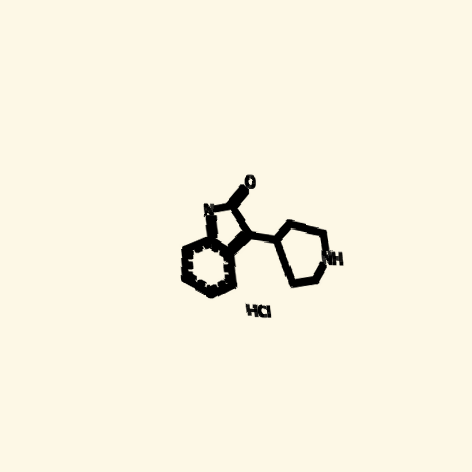 Cl.O=C1N=c2ccccc2=C1C1CCNCC1